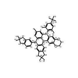 Cc1cc2c3c(c1)N(c1c(C)cc(C(C)(C)C)cc1C)c1cc4c(cc1B3c1cc3c(cc1N2c1ccc2c(c1)CC(C)(C)C2)CC(C)(C)C3)OCCO4